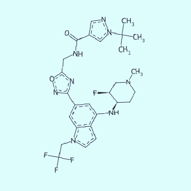 CN1CC[C@@H](Nc2cc(-c3noc(CNC(=O)c4cnn(C(C)(C)C)c4)n3)cc3c2ccn3CC(F)(F)F)[C@@H](F)C1